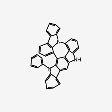 c1ccc(-n2c3ccccc3c3cc4[nH]c5cccc6c5c4c(c4cccc5c7ccccc7n6c54)c32)cc1